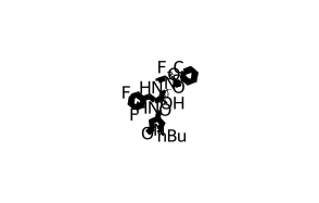 CCCCN1CC(C(=O)NC(Cc2cc(F)cc(F)c2)[C@H](O)[C@H]2CN(S(=O)(=O)c3ccccc3C(F)(F)F)CCN2)CC1=O